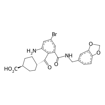 Nc1cc(Br)cc(C(=O)NCc2ccc3c(c2)OCO3)c1C(=O)[C@H]1CC[C@H](C(=O)O)CC1